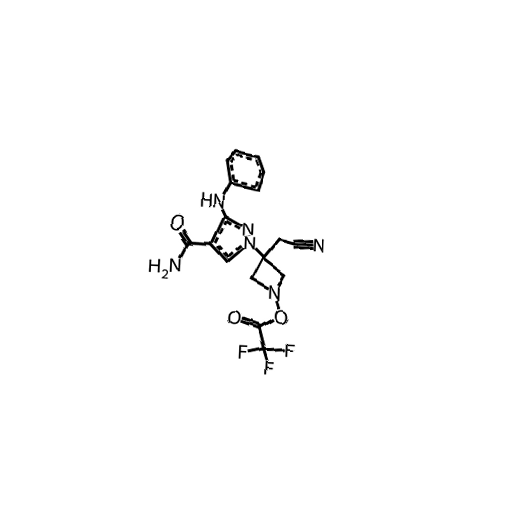 N#CCC1(n2cc(C(N)=O)c(Nc3ccccc3)n2)CN(OC(=O)C(F)(F)F)C1